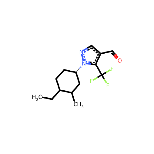 CCC1CC[C@H](n2ncc(C=O)c2C(F)(F)F)CC1C